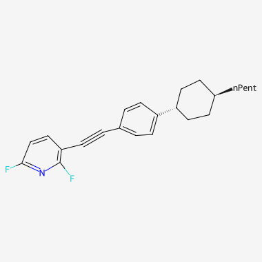 CCCCC[C@H]1CC[C@H](c2ccc(C#Cc3ccc(F)nc3F)cc2)CC1